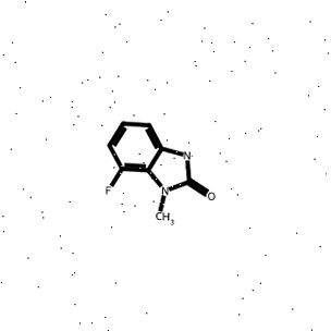 CN1C(=O)[N]c2cccc(F)c21